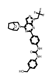 O=C(Nc1ccc(CO)cc1)Nc1ccc(-c2nc(N3CC4CCC(C3)O4)c3cnn(CC(F)(F)F)c3n2)cc1